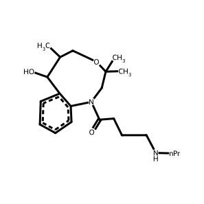 CCCNCCCC(=O)N1CC(C)(C)OCC(C)C(O)c2ccccc21